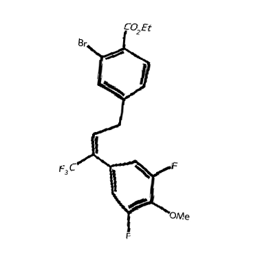 CCOC(=O)c1ccc(CC=C(c2cc(F)c(OC)c(F)c2)C(F)(F)F)cc1Br